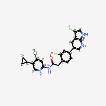 O=C(Cc1ccc(-c2cnc3[nH]cc(F)c3c2)cc1F)Nc1cc(Cl)c(C2CC2)cn1